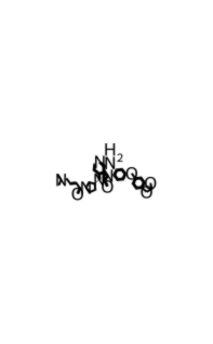 CN(C)C/C=C/C(=O)N1CC[C@@H](n2c(=O)n(-c3ccc(Oc4ccc5c(c4)OCO5)cc3)c3c(N)nccc32)C1